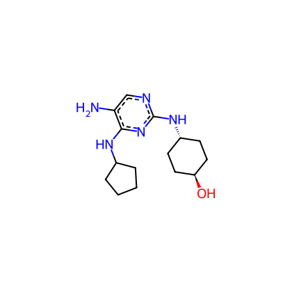 Nc1cnc(N[C@H]2CC[C@H](O)CC2)nc1NC1CCCC1